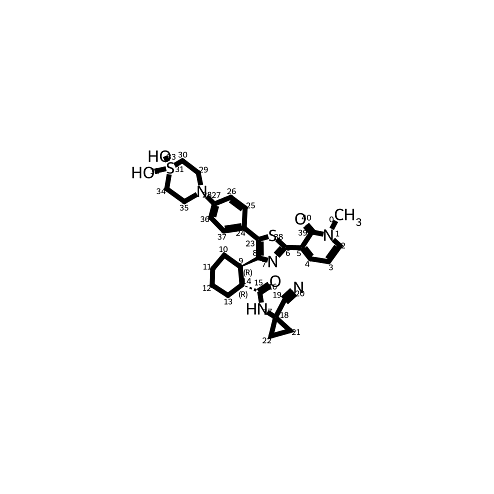 Cn1cccc(-c2nc([C@@H]3CCCC[C@H]3C(=O)NC3(C#N)CC3)c(-c3ccc(N4CCS(O)(O)CC4)cc3)s2)c1=O